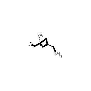 NC[C@H]1C[C@@](O)(CF)C1